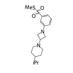 CSS(=O)(=O)c1cccc(N2CC(N3CCC(C(C)C)CC3)C2)c1